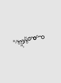 C\C=C/C(=N\C=C\C(N)=O)NC(=O)N1CCN(Cc2cccc(OCCC3CCCCC3)c2)CC1